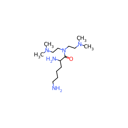 CN(C)CCN(CCN(C)C)C(=O)C(N)CCCCN